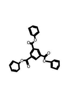 O=C(Oc1ccccc1)c1cc(C(=O)Oc2ccccc2)cc(C(=O)OC2C=CC=CC2)c1